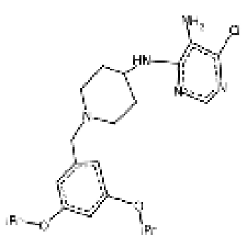 CC(C)Oc1cc(CN2CCC(Nc3ncnc(Cl)c3N)CC2)cc(OC(C)C)c1